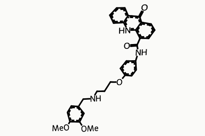 COc1ccc(CNCCCOc2ccc(NC(=O)c3cccc4c(=O)c5ccccc5[nH]c34)cc2)cc1OC